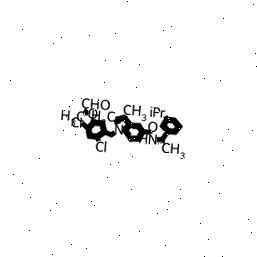 Cc1c(C)n(Cc2cc(O[C@@H](C)C=O)c(Cl)cc2Cl)c2ccc(C(=O)N[C@@H](C)c3cccc(C(C)C)c3)cc12